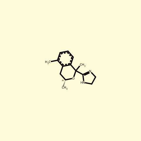 Cc1cccc2c1C[C@@H](C)OC2(C)C1=NCCN1